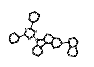 c1ccc(-c2nc(-c3ccccc3)nc(-n3c4ccccc4c4c5ccc(-c6cccc7ccccc67)cc5ccc43)n2)cc1